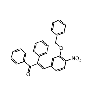 O=C(C(=Cc1ccc([N+](=O)[O-])c(OCc2ccccc2)c1)c1ccccc1)c1ccccc1